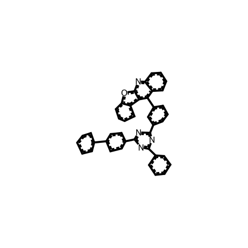 c1ccc(-c2ccc(-c3nc(-c4ccccc4)nc(-c4cccc(-c5c6ccccc6nc6oc7ccccc7c56)c4)n3)cc2)cc1